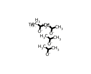 CC(C)[O-].CC(C)[O-].CC(C)[O-].CC(C)[O-].[N].[Ti+4]